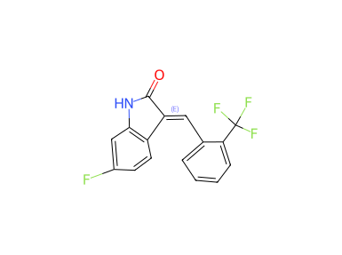 O=C1Nc2cc(F)ccc2/C1=C\c1ccccc1C(F)(F)F